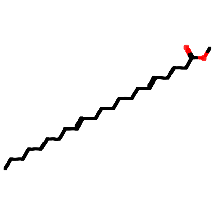 CCCCCCCCC=CCCCCCCC=CCCCC(=O)OC